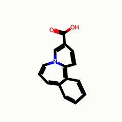 O=C(O)C1=CN2C=CC=c3ccccc3=C2C=C1